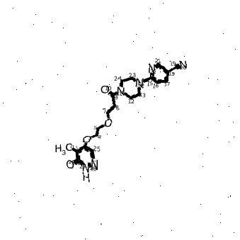 Cc1c(OCCOCCC(=O)N2CCN(c3ccc(C#N)cn3)CC2)cn[nH]c1=O